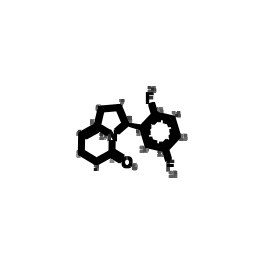 O=C1CCC=C2CC[C@@H](c3cc(F)ccc3F)N12